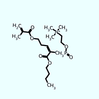 C=C(C)C(=O)OCCC=C(C)C(=O)OCCCC.C[N+](C)(C)CCOP=O